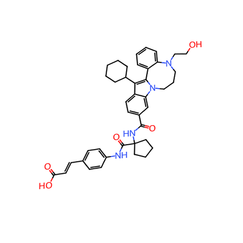 O=C(O)/C=C/c1ccc(NC(=O)C2(NC(=O)c3ccc4c(C5CCCCC5)c5n(c4c3)CCCN(CCO)c3ccccc3-5)CCCC2)cc1